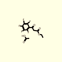 CC(=O)O.CCOC(=O)CC(=O)c1c(F)c(F)c(F)c(F)c1F